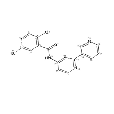 N#Cc1ccc(Cl)c(C(=O)Nc2ccnc(-c3cccnc3)c2)c1